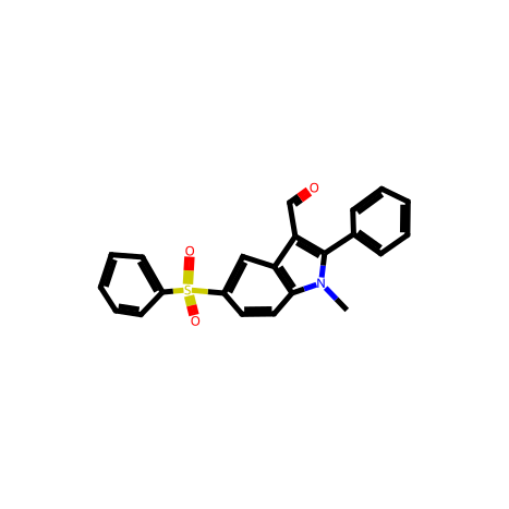 Cn1c(-c2ccccc2)c(C=O)c2cc(S(=O)(=O)c3ccccc3)ccc21